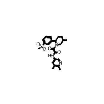 Cc1cc(NC(=O)C(=O)N2CC(C)CCC2c2cccc(S(C)(=O)=O)c2)cnc1C